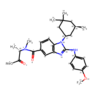 COC(=O)[C@H](C)N(C)C(=O)c1ccc2c(c1)nc(Nc1ccc(OC(F)(F)F)cc1)n2[C@@H]1C[C@H](C)CC(C)(C)C1